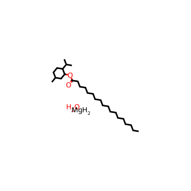 CCCCCCCCCCCCCCCCCC(=O)OC1CC(C)CCC1C(C)C.O.[MgH2]